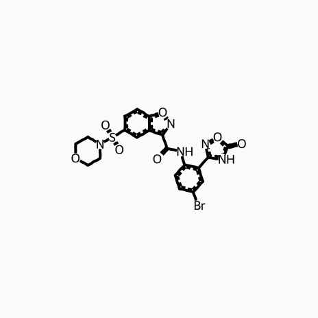 O=C(Nc1ccc(Br)cc1-c1noc(=O)[nH]1)c1noc2ccc(S(=O)(=O)N3CCOCC3)cc12